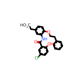 O=C(O)Cc1ccc(OCCc2ccccc2)c(NC(=O)c2cc(Cl)ccc2O)c1